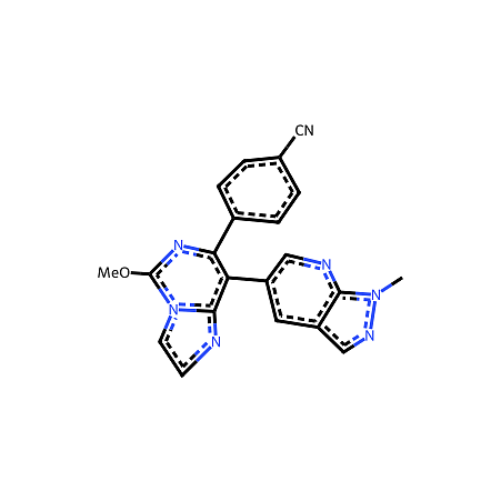 COc1nc(-c2ccc(C#N)cc2)c(-c2cnc3c(cnn3C)c2)c2nccn12